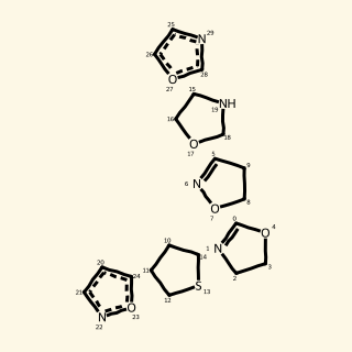 C1=NCCO1.C1=NOCC1.C1CCSC1.C1COCN1.c1cnoc1.c1cocn1